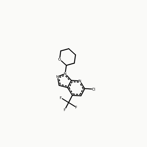 FC(F)(F)c1cc(Cl)nc2c1cnn2C1CCCCO1